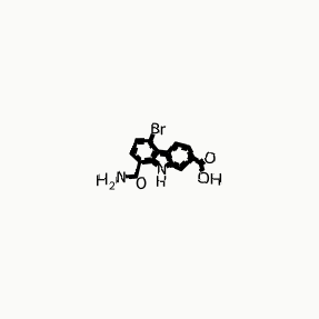 NC(=O)c1ccc(Br)c2c1[nH]c1cc(C(=O)O)ccc12